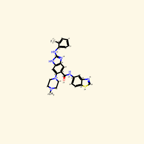 CN1CCN(c2cc3[nH]c(Nc4ccccc4C(F)(F)F)nc3cc2C(=O)Nc2ccc3scnc3c2)CC1